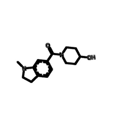 CN1CCc2ccc(C(=O)N3CCC(O)CC3)cc21